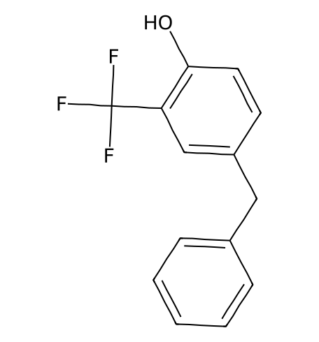 Oc1ccc(Cc2ccccc2)cc1C(F)(F)F